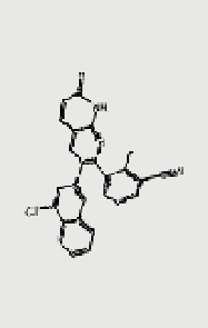 Cc1c(C#N)cccc1-c1nc2[nH]c(=O)ccc2cc1-c1cc(Cl)c2ncccc2c1